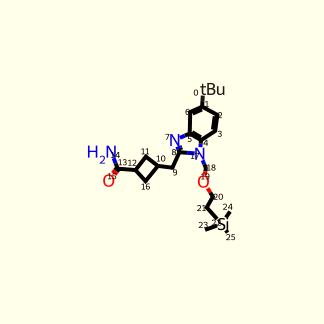 CC(C)(C)c1ccc2c(c1)nc(CC1CC(C(N)=O)C1)n2COCC[Si](C)(C)C